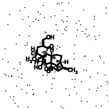 C=C1C2C(=O)C34[C@H]2[C@H]1CC[C@H]3[C@@]12CO[C@@]4(O)[C@@H](O)[C@@H]1C(C)(C)C/C(=C/O)C2=O